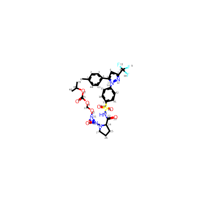 Cc1ccc(-c2cc(C(F)(F)F)nn2-c2ccc(S(=O)(=O)NC(=O)C3CCCN3n3on3OCOC(=O)OC(C)C)cc2)cc1